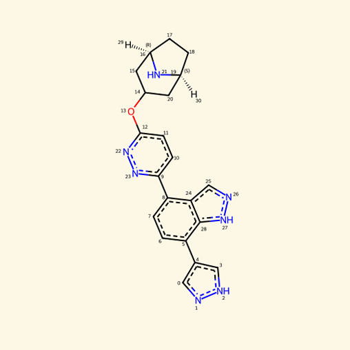 c1n[nH]cc1-c1ccc(-c2ccc(OC3C[C@H]4CC[C@@H](C3)N4)nn2)c2cn[nH]c12